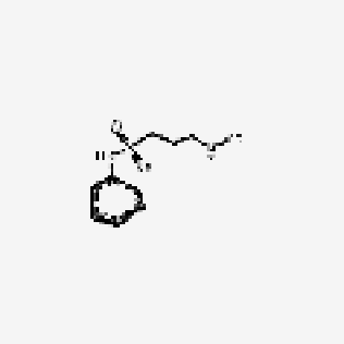 CC(C)NCCCS(=O)(=O)Nc1ccccc1